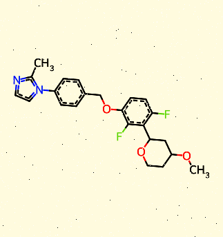 COC1CCOC(c2c(F)ccc(OCc3ccc(-n4ccnc4C)cc3)c2F)C1